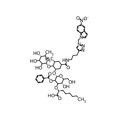 CCCCCC[C@H](OC1C(OC(=O)c2ccccc2)[C@H](O[C@@H]2CC(C(=O)NCCCc3cn(Cn4ccc5cc([N+](=O)[O-])ccc54)nn3)CC(C)C2O[C@@H]2OC(C)[C@@H](O)C(O)C2O)OC(CO)[C@@H]1O)C(=O)O